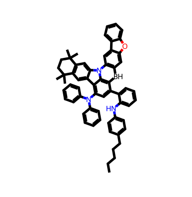 CCCCCc1ccc(Nc2ccccc2-c2cc(N(c3ccccc3)c3ccccc3)c3c4cc5c(cc4n4c3c2Bc2cc3oc6ccccc6c3cc2-4)C(C)(C)CCC5(C)C)cc1